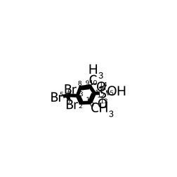 Cc1cc(C(Br)(Br)Br)cc(C)c1S(=O)(=O)O